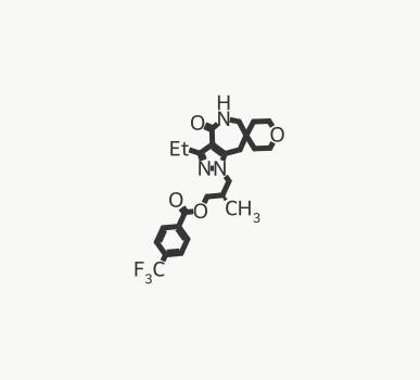 CCc1nn(C[C@@H](C)COC(=O)c2ccc(C(F)(F)F)cc2)c2c1C(=O)NCC1(CCOCC1)C2